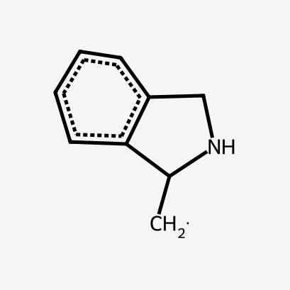 [CH2]C1NCc2ccccc21